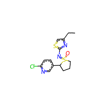 CCc1csc(N=S2(=O)CCCC2c2ccc(Cl)nc2)n1